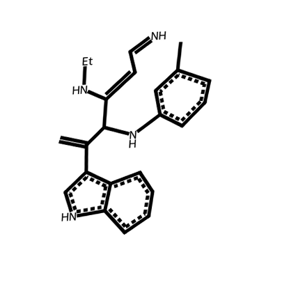 C=C(c1c[nH]c2ccccc12)C(Nc1cccc(C)c1)/C(=C/C=N)NCC